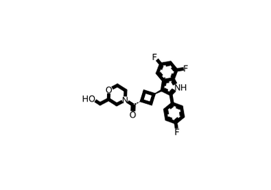 O=C([C@H]1C[C@H](c2c(-c3ccc(F)cc3)[nH]c3c(F)cc(F)cc32)C1)N1CCOC(CO)C1